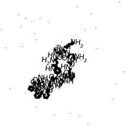 CC(C)C[C@H](NC(=O)[C@@H](N)Cc1c[nH]c2ccccc12)C(=O)N[C@@H](CCCCN)C(=O)N[C@@H](CC(N)=O)C(=O)NCC(=O)NCC(=O)N1CCC[C@H]1C(=O)N[C@@H](CO)C(=O)N[C@@H](CO)C(=O)NCC(=O)N[C@@H](C)C(=O)N1CCC[C@H]1C(=O)N1CCC[C@H]1C(=O)N1CCC[C@H]1C(=O)N[C@@H](CO)C(N)=O